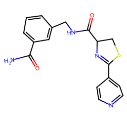 NC(=O)c1cccc(CNC(=O)C2CSC(c3ccncc3)=N2)c1